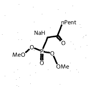 CCCCCC(=O)CP(=O)(OOC)OOC.[NaH]